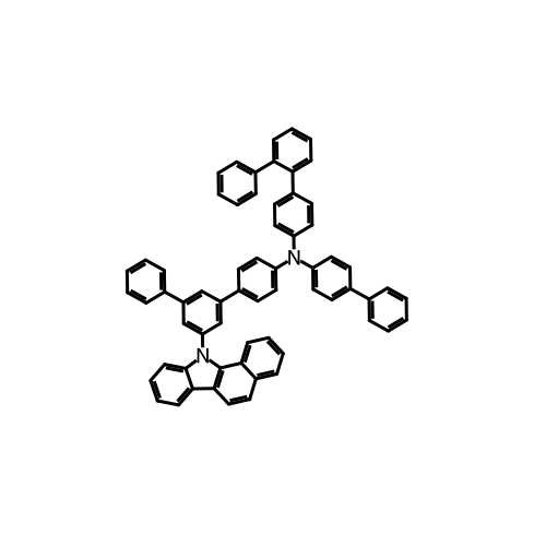 c1ccc(-c2ccc(N(c3ccc(-c4cc(-c5ccccc5)cc(-n5c6ccccc6c6ccc7ccccc7c65)c4)cc3)c3ccc(-c4ccccc4-c4ccccc4)cc3)cc2)cc1